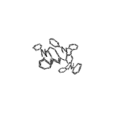 c1ccc(-n2c3ccccc3c3cc(-c4c5c6ccccc6n(-c6ccccc6)c5cc5c6ccccc6n(-c6ccccc6)c45)ccc32)cc1